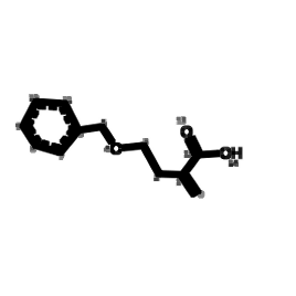 C=C(CCOCc1ccccc1)C(=O)O